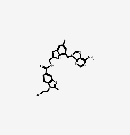 Cc1nc2cc(C(=O)NCc3cc4cc(Cl)cc(Cn5cnc6c(N)ncnc65)c4[nH]3)ccc2n1CCO